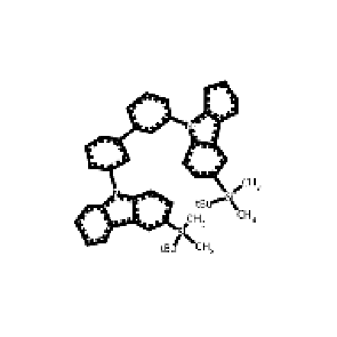 CC(C)(C)[Si](C)(C)c1ccc2c(c1)c1ccccc1n2-c1cccc(-c2cccc(-n3c4ccccc4c4cc([Si](C)(C)C(C)(C)C)ccc43)c2)c1